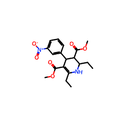 CCC1=C(C(=O)OC)C(c2cccc([N+](=O)[O-])c2)C(C(=O)OC)C(CC)N1